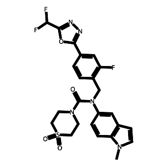 Cn1ccc2cc(N(Cc3ccc(-c4nnc(C(F)F)o4)cc3F)C(=O)N3CCS(=O)(=O)CC3)ccc21